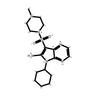 CN1CCN(S(=O)(=O)c2c(N)n(C3CCCCC3)c3nccnc23)CC1